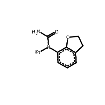 CC(C)N(C(N)=O)c1cccc2c1OCC2